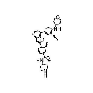 N#Cc1cc(-c2ccnc3cc(-c4ccc(C(=O)N[C@H]5CCNC[C@H]5F)cc4F)oc23)ccc1NC1CCOCC1